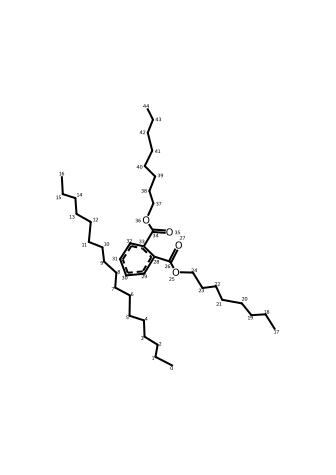 CCCCCCCCCCCCCCCCC.CCCCCCCCOC(=O)c1ccccc1C(=O)OCCCCCCCC